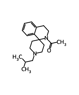 CC(=O)N1CCc2ccccc2C12CCN(CC(C)C)CC2